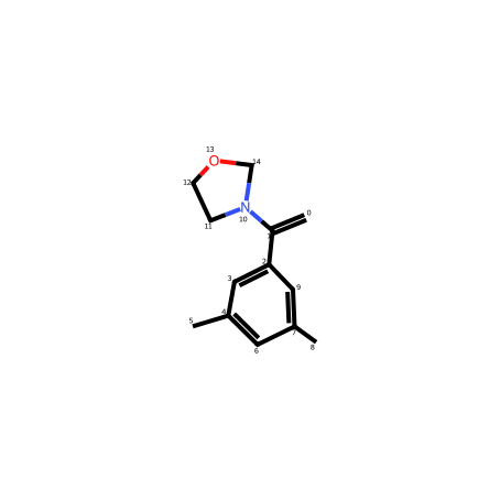 C=C(c1cc(C)cc(C)c1)N1CCOC1